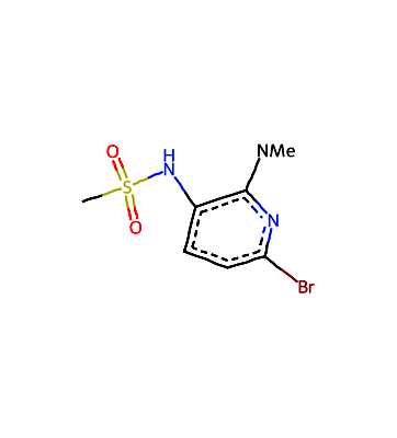 CNc1nc(Br)ccc1NS(C)(=O)=O